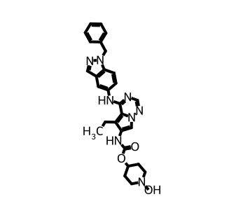 CCc1c(NC(=O)OC2CCN(O)CC2)cn2ncnc(Nc3ccc4c(cnn4Cc4ccccc4)c3)c12